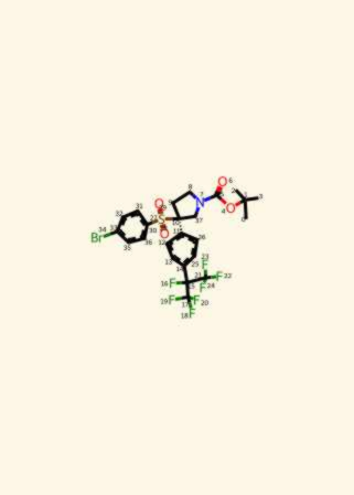 CC(C)(C)OC(=O)N1CC[C@](c2ccc(C(F)(C(F)(F)F)C(F)(F)F)cc2)(S(=O)(=O)c2ccc(Br)cc2)C1